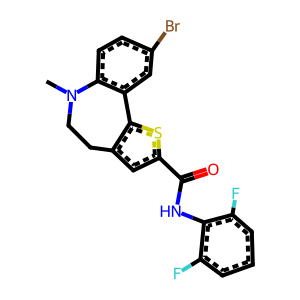 CN1CCc2cc(C(=O)Nc3c(F)cccc3F)sc2-c2cc(Br)ccc21